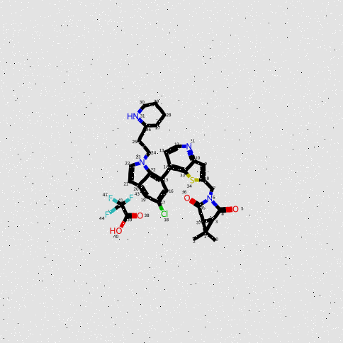 CC1(C)C2C(=O)N(Cc3cc4nccc(-c5cc(Cl)cc6ccn(CCC7CCCCN7)c56)c4s3)C(=O)C21.O=C(O)C(F)(F)F